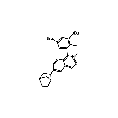 Cc1c(-c2c3ccc(C4CC5CCC4C5)cc3cc[n+]2C)cc(C(C)(C)C)cc1C(C)(C)C